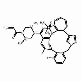 C=CC(=O)N1C[C@H](C)N(c2nc(=O)n3c4nc(c(F)cc24)-c2c(F)cccc2Cn2cc(nn2)C2C=CC=NC(C(C)C)=C23)C[C@H]1C